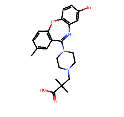 Cc1ccc2c(c1)C(N1CCN(CC(C)(C)C(=O)O)CC1)=Nc1cc(Br)ccc1O2